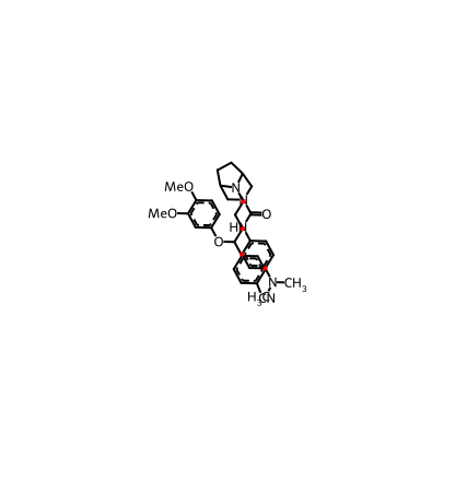 COc1ccc(OC(CCCN2C3CCC2CN(C(=O)Nc2ccc(N(C)C)cc2)C3)c2ccc(C#N)cc2)cc1OC